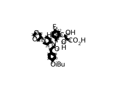 CC(C)COc1ccc(CC(=O)N(Cc2ccc(F)cc2)C2CCN(C3COCOC3)CC2)cc1.O=C(O)C(O)C(O)C(=O)O